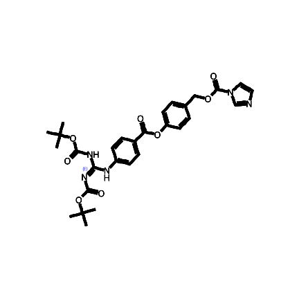 CC(C)(C)OC(=O)/N=C(/NC(=O)OC(C)(C)C)Nc1ccc(C(=O)Oc2ccc(COC(=O)n3ccnc3)cc2)cc1